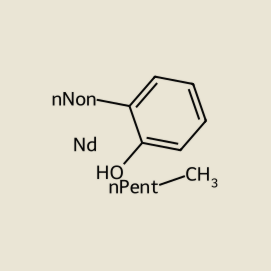 CCCCCC.CCCCCCCCCc1ccccc1O.[Nd]